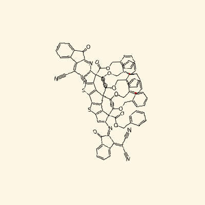 N#CC(C#N)=C1/C(=N/C2=Cc3sc4c(c3C2(C(=O)OCc2ccccc2)C(=O)OCc2ccccc2)C(C(=O)OCc2ccccc2)(C(=O)OCc2ccccc2)c2c-4sc3c2C(C(=O)OCc2ccccc2)(C(=O)OCc2ccccc2)C(/N=C2/C(=O)c4ccccc4C2=C(C#N)C#N)=C3)C(=O)c2ccccc21